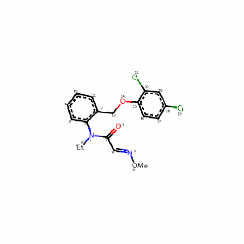 CCN(C(=O)C=NOC)c1ccccc1COc1ccc(Cl)cc1Cl